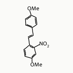 COc1ccc(/C=C/c2ccc(OC)cc2[N+](=O)[O-])cc1